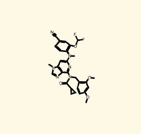 COc1ccc(CN(C(=O)C2CC2)c2nc(N(C)c3ccc(C#N)cc3OC(F)F)cc3c2ncn3C)c(OC)c1